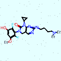 CCOc1cc(O)c(F)c(N2Cc3cnc(NCCCCN(CC)CC)nc3N(C3CC3)C2=O)c1F